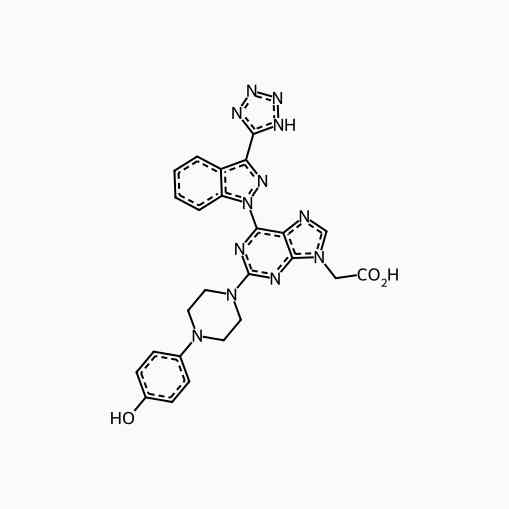 O=C(O)Cn1cnc2c(-n3nc(-c4nnn[nH]4)c4ccccc43)nc(N3CCN(c4ccc(O)cc4)CC3)nc21